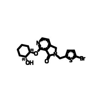 O=C1c2c(ccnc2O[C@@H]2CCCC[C@H]2O)CN1Cc1ccc(Br)s1